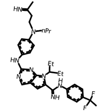 CCCN(CCC(C)=N)c1ccc(Nc2ncc3cc(C(=N)Nc4ccc(C(C)(F)F)cc4)n(C(CC)CC)c3n2)cc1